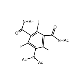 CC(=O)NC(=O)c1c(I)c(C(=O)NC(C)=O)c(I)c(N(C(C)=O)C(C)=O)c1I